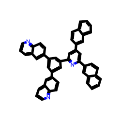 c1ccc2cc(-c3cc(-c4cc(-c5ccc6ncccc6c5)cc(-c5ccc6ncccc6c5)c4)nc(-c4ccc5ccccc5c4)c3)ccc2c1